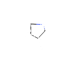 [CH2][C@H]1CNC[C@H]1O